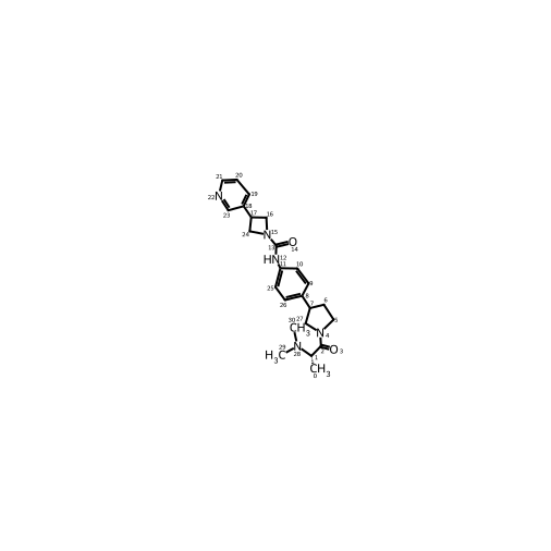 C[C@@H](C(=O)N1CCC(c2ccc(NC(=O)N3CC(c4cccnc4)C3)cc2)C1)N(C)C